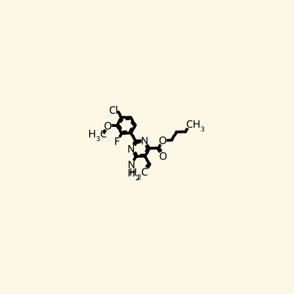 C=Cc1c(N)nc(-c2ccc(Cl)c(OC)c2F)nc1C(=O)OCCCC